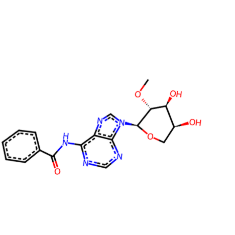 CO[C@@H]1[C@@H](O)[C@@H](O)CO[C@H]1n1cnc2c(NC(=O)c3ccccc3)ncnc21